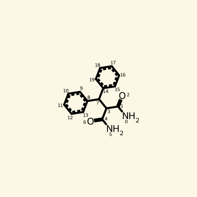 NC(=O)C(C(N)=O)C(c1ccccc1)c1ccccc1